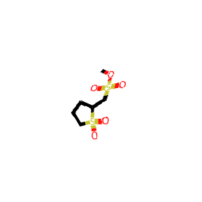 COS(=O)(=O)CC1CCCS1(=O)=O